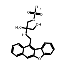 CC(CO)(COS(C)(=O)=O)NCc1c2ccccc2cc2oc3ccccc3c12